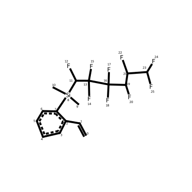 C=Cc1ccccc1[Si](C)(C)C(F)C(F)(F)C(F)(F)C(F)C(F)C(F)F